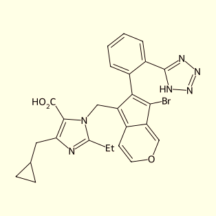 CCc1nc(CC2CC2)c(C(=O)O)n1Cc1c2ccocc-2c(Br)c1-c1ccccc1-c1nnn[nH]1